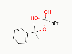 CCCC(O)(O)OC(C)(C)c1ccccc1